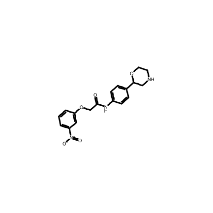 O=C(COc1cccc([N+](=O)[O-])c1)Nc1ccc(C2CNCCO2)cc1